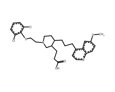 COc1ccc2nccc(CCCC3CCN(CCSc4c(Cl)cccc4Cl)CC3CCC(=O)O)c2c1